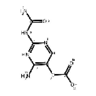 NC(=O)Nc1ncc(OC(=O)O)c(N)n1